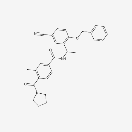 Cc1cc(C(=O)NC(C)c2cc(C#N)ccc2OCc2ccccc2)ccc1C(=O)N1CCCC1